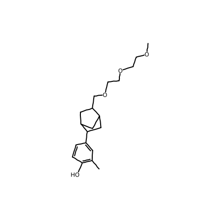 COCCOCCOCC1CC2CC1CC2c1ccc(O)c(C)c1